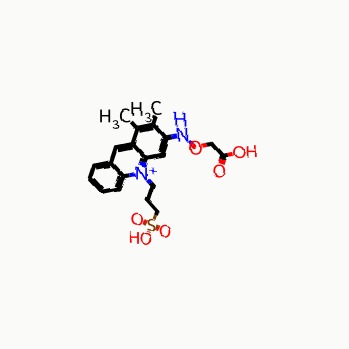 Cc1c(NOCC(=O)O)cc2c(cc3ccccc3[n+]2CCCS(=O)(=O)O)c1C